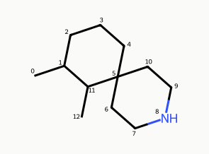 CC1CCCC2(CCNCC2)C1C